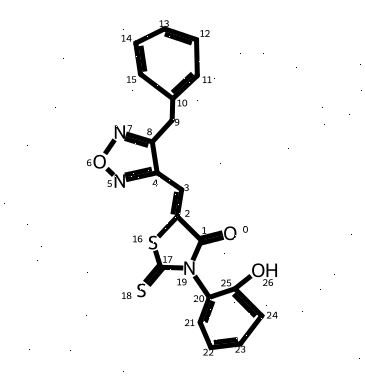 O=C1C(=Cc2nonc2Cc2ccccc2)SC(=S)N1c1ccccc1O